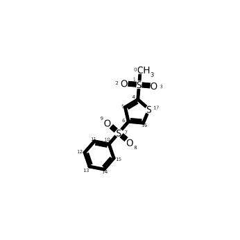 CS(=O)(=O)c1cc(S(=O)(=O)c2ccccc2)cs1